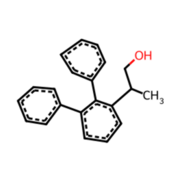 CC(CO)c1cccc(-c2ccccc2)c1-c1ccccc1